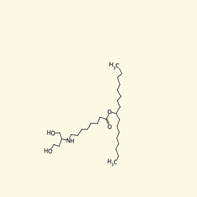 CCCCCCCCC(CCCCCCCC)OC(=O)CCCCCCCNC(CO)CCO